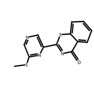 CSc1cncc(-c2nc(=O)c3ccccc3s2)n1